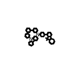 CC1(C)C2=C(CC=CC=C2)C2C=CC=C(C3=CC=C(N(c4cccc(-c5ccccc5)c4)c4ccc5c6ccccc6n(-c6ccccc6)c5c4)CC3)C21